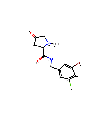 O=C1CC(C(=O)NCc2cc(F)cc(Br)c2)N(C(=O)O)C1